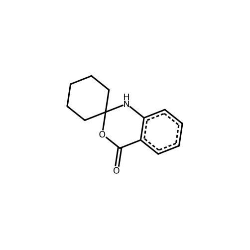 O=C1OC2(CCCCC2)Nc2ccccc21